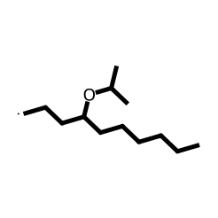 [CH2]CCC(CCCCCC)OC(C)C